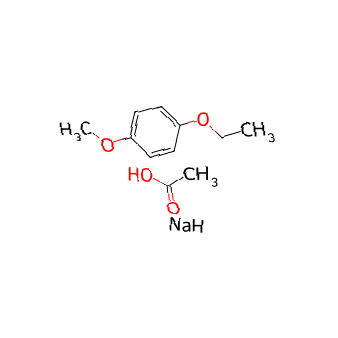 CC(=O)O.CCOc1ccc(OC)cc1.[NaH]